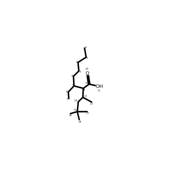 CCCCCC(CC)C(C(=O)O)C(C)CC(C)(C)C